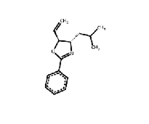 C=C[C@@H]1OC(c2ccccc2)=N[C@H]1CC(C)C